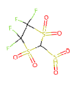 O=[SH](=O)C1S(=O)(=O)C(F)(F)C(F)(F)S1(=O)=O